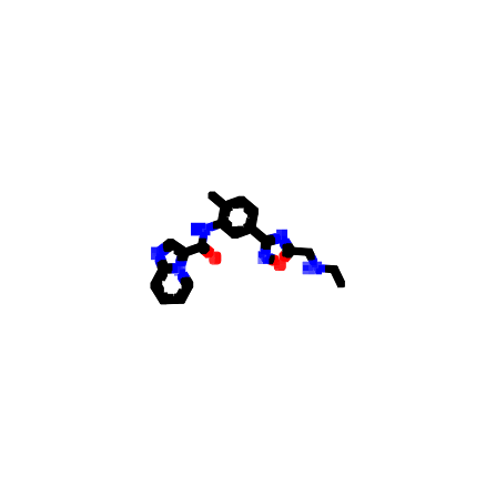 CCNCc1nc(-c2ccc(C)c(NC(=O)c3cnc4ccccn34)c2)no1